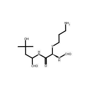 CC(C)(O)CC(C=O)NC(=O)[C@H](NC=O)SCCCN